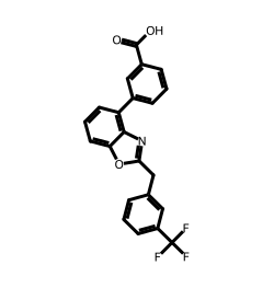 O=C(O)c1cccc(-c2cccc3oc(Cc4cccc(C(F)(F)F)c4)nc23)c1